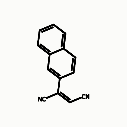 N#C/C=C(/C#N)c1ccc2ccccc2c1